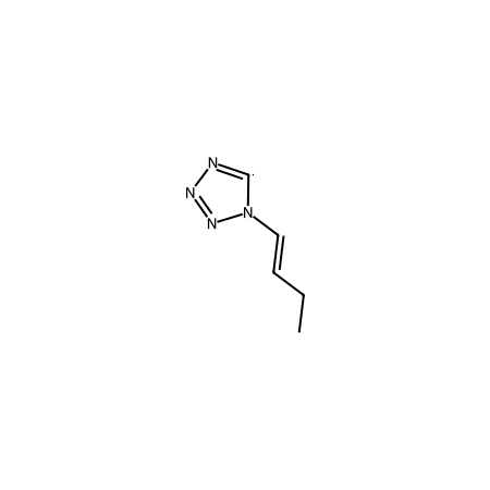 CCC=Cn1[c]nnn1